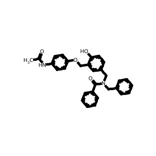 CC(=O)Nc1ccc(OCc2cc(CN(Cc3ccccc3)C(=O)c3ccccc3)ccc2O)cc1